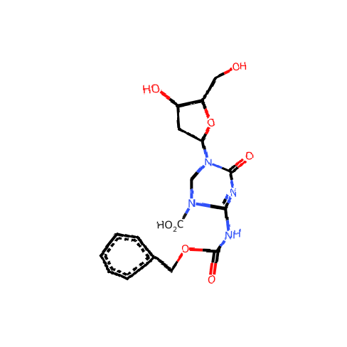 O=C(NC1=NC(=O)N(C2CC(O)C(CO)O2)CN1C(=O)O)OCc1ccccc1